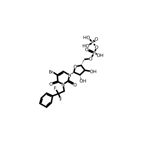 O=c1c(Br)cn([C@@H]2O[C@H](COP(=O)(O)OP(=O)(O)O)C(O)[C@@H]2O)c(=O)n1CC(F)(F)c1ccccc1